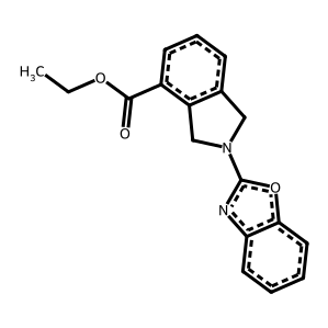 CCOC(=O)c1cccc2c1CN(c1nc3ccccc3o1)C2